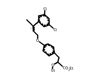 CCOC(=O)C(Cc1ccc(OC/C=C(/C)c2cc(Cl)cc(Cl)c2)cc1)OCC